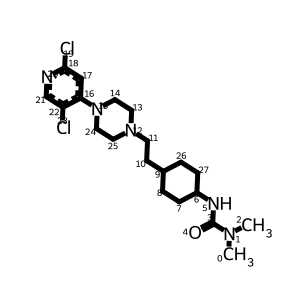 CN(C)C(=O)NC1CCC(CCN2CCN(c3cc(Cl)ncc3Cl)CC2)CC1